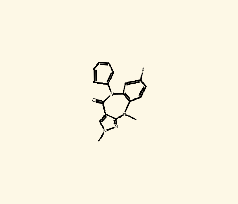 CN1c2ccc(F)cc2N(c2ccccc2)C(=O)c2cn(C)nc21